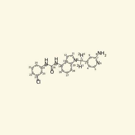 [2H]C([2H])(c1ccnc(N)c1)n1ccc2c(NC(=O)Nc3cccc(Cl)c3)cccc21